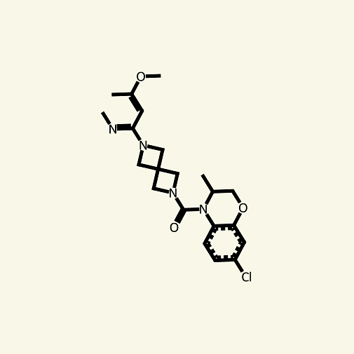 C/N=C(\C=C(/C)OC)N1CC2(CN(C(=O)N3c4ccc(Cl)cc4OCC3C)C2)C1